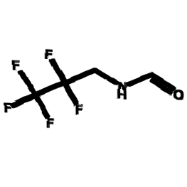 O=CNCC(F)(F)C(F)(F)F